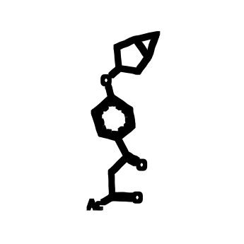 CC(=O)C(=O)CC(=O)c1ccc(OC2CC3CC3C2)cc1